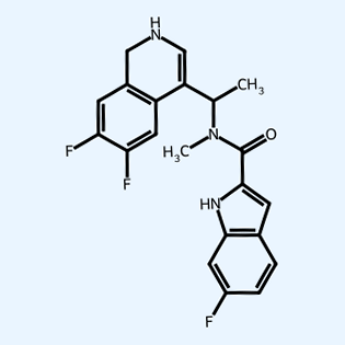 CC(C1=CNCc2cc(F)c(F)cc21)N(C)C(=O)c1cc2ccc(F)cc2[nH]1